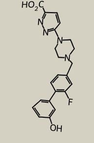 O=C(O)c1ccc(N2CCN(Cc3ccc(-c4cccc(O)c4)c(F)c3)CC2)nn1